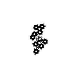 c1ccc(-n2c3ccccc3c3c(-c4nc(-n5c6ccc7c8ccccc8c8ccccc8c7c6c6ccc7ccccc7c65)nc5c4sc4ccccc45)cccc32)cc1